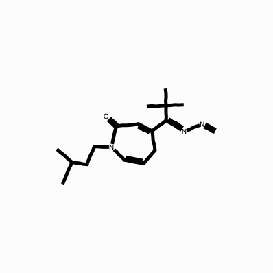 C=N/N=C(/C1=CC(=O)N(CCC(C)C)C=CC1)C(C)(C)C